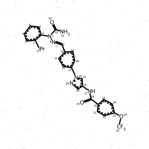 CC(C)c1ccccc1N(/N=C/c1ccc(-n2cc(NC(=O)c3ccc(OC(F)(F)F)cc3)cn2)cc1)C(N)=O